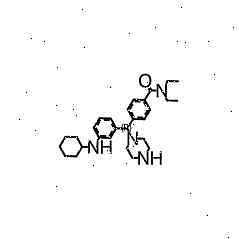 CCN(CC)C(=O)c1ccc([C@H](c2cccc(NC3CCCCC3)c2)N2CCNCC2)cc1